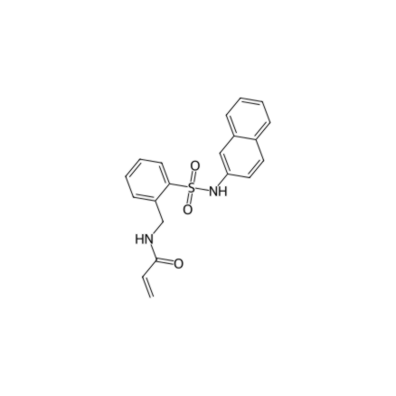 C=CC(=O)NCc1ccccc1S(=O)(=O)Nc1ccc2ccccc2c1